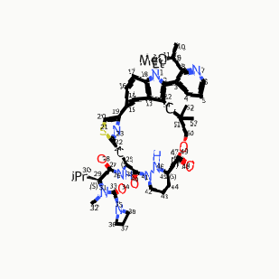 CCn1c(-c2cccnc2[C@H](C)OC)c2c3cc(ccc31)-c1csc(n1)C[C@H](NC(=O)[C@H](C(C)C)N(C)C(=O)N1CCC1)C(=O)N1CCC[C@H](N1)C(=O)OCC(C)(C)C2